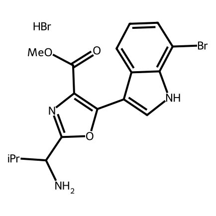 Br.COC(=O)c1nc(C(N)C(C)C)oc1-c1c[nH]c2c(Br)cccc12